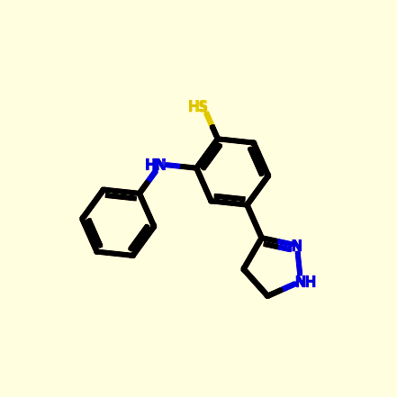 Sc1ccc(C2=NNCC2)cc1Nc1ccccc1